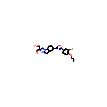 CCCOc1ccc(-c2nc(-c3ccc4c(c3)CCN4CC(N)(CO)CO)no2)cc1Br